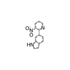 O=[N+]([O-])c1cccnc1-c1ccc2cc[nH]c2c1